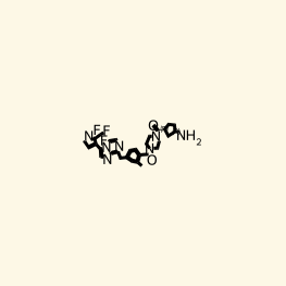 Cc1cc(Cc2nccn3c(C4=CCN=C4C(F)(F)F)cnc23)ccc1C(=O)N1CCN(C(=O)[C@@H]2CC[C@@H](N)C2)CC1